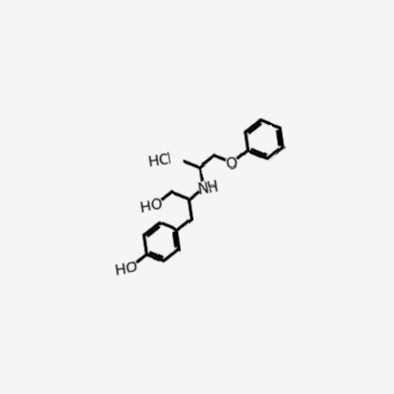 CC(COc1ccccc1)NC(CO)Cc1ccc(O)cc1.Cl